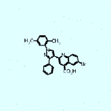 Cc1ccc(C)c(-n2cc(-c3cc(C(=O)O)c4cc(Br)ccc4n3)c(-c3ccccc3)n2)c1